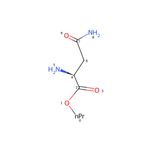 CCCOC(=O)[C@@H](N)CC(N)=O